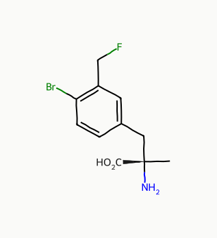 C[C@](N)(Cc1ccc(Br)c(CF)c1)C(=O)O